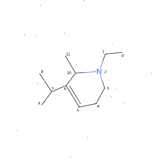 CCN1CCC=C(C(C)C)C1C